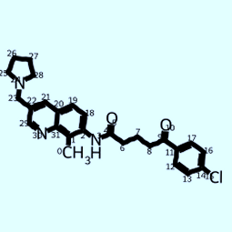 Cc1c(NC(=O)CCCC(=O)c2ccc(Cl)cc2)ccc2cc(CN3CCCC3)cnc12